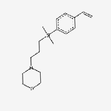 C=Cc1ccc([Si](C)(C)CCCN2CCOCC2)cc1